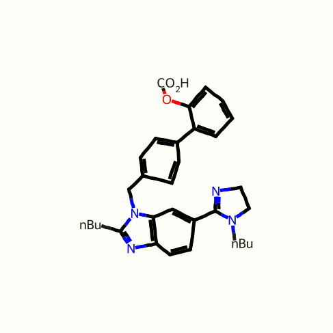 CCCCc1nc2ccc(C3=NCCN3CCCC)cc2n1Cc1ccc(-c2ccccc2OC(=O)O)cc1